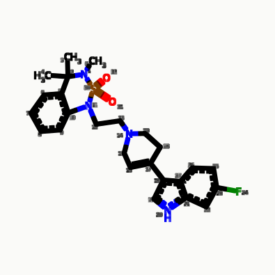 CN1C(C)(C)c2ccccc2N(CCN2CC=C(c3c[nH]c4cc(F)ccc34)CC2)S1(=O)=O